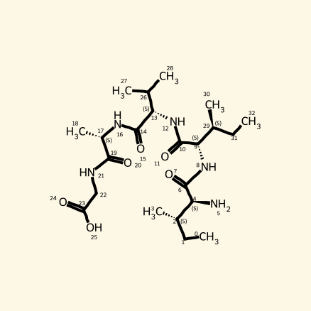 CC[C@H](C)[C@H](N)C(=O)N[C@H](C(=O)N[C@H](C(=O)N[C@@H](C)C(=O)NCC(=O)O)C(C)C)[C@@H](C)CC